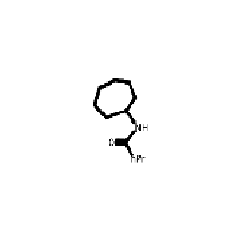 CCCC(=O)NC1CCCCCC1